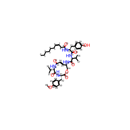 CCCCCC/C=C\CC(=O)N[C@@H](Cc1ccc(O)cc1)C(=O)N[C@H](C(=O)N[C@@H]1/C=C/C(=O)N[C@@H](C(C)C)C(=O)N[C@@H](Cc2ccc(OC)cc2)C(=O)OC1)C(C)C